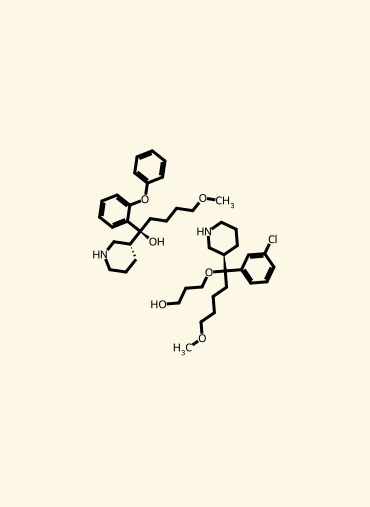 COCCCCC(OCCCO)(c1cccc(Cl)c1)[C@@H]1CCCNC1.COCCCC[C@@](O)(c1ccccc1Oc1ccccc1)[C@@H]1CCCNC1